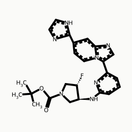 CC(C)(C)OC(=O)N1C[C@H](Nc2cccc(-c3cnc4cc(-c5ncc[nH]5)ccn34)n2)[C@@H](F)C1